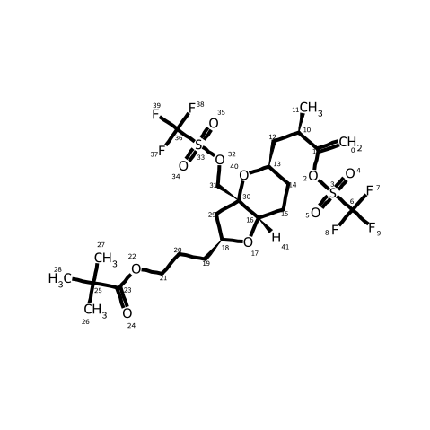 C=C(OS(=O)(=O)C(F)(F)F)[C@H](C)C[C@H]1CC[C@@H]2O[C@@H](CCCOC(=O)C(C)(C)C)C[C@]2(COS(=O)(=O)C(F)(F)F)O1